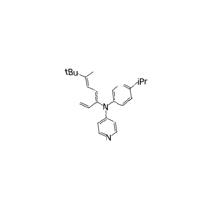 C=C/C(=C\C=C(/C)C(C)(C)C)N(C(/C=C\C(=C)C(C)C)=C/C)c1ccncc1